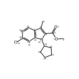 COC(=O)c1c(C)c2cnc(Cl)nc2n1C1CCCC1